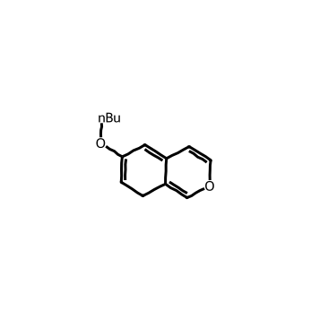 CCCCOC1=CCC2=COC=CC2=C1